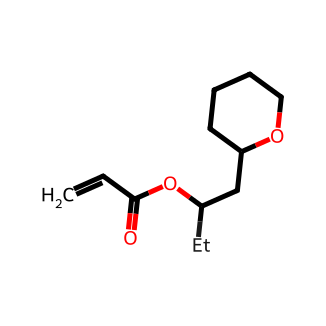 C=CC(=O)OC(CC)CC1CCCCO1